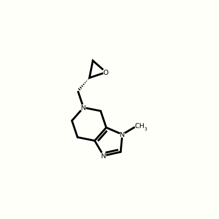 Cn1cnc2c1CN(C[C@@H]1CO1)CC2